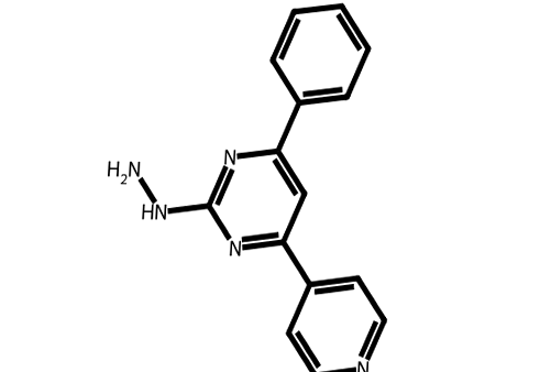 NNc1nc(-c2ccccc2)cc(-c2ccncc2)n1